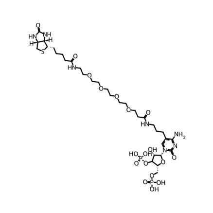 Nc1nc(=O)n([C@@H]2O[C@H](COP(=O)(O)O)C(OP(=O)(O)O)[C@@H]2O)cc1CCCNC(=O)CCOCCOCCOCCOCCNC(=O)CCCC[C@@H]1SC[C@@H]2NC(=O)N[C@@H]21